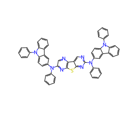 c1ccc(N(c2ccc3c(c2)c2ccccc2n3-c2ccccc2)c2cnc3c(n2)sc2nc(N(c4ccccc4)c4ccc5c(c4)c4ccccc4n5-c4ccccc4)ncc23)cc1